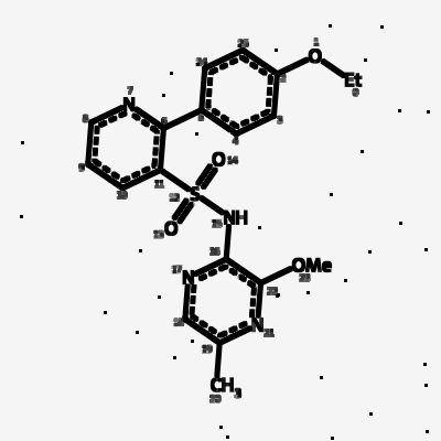 CCOc1ccc(-c2ncccc2S(=O)(=O)Nc2ncc(C)nc2OC)cc1